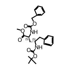 COC(=O)[C@H](C[C@H](Cc1ccccc1)NC(=O)OC(C)(C)C)NC(=O)OCc1ccccc1